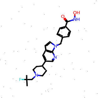 CC(C)(F)CN1CCC(c2cnc3c(ccn3Cc3ccc(C(=O)NO)cc3)c2)CC1